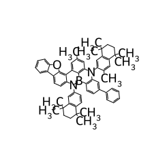 Cc1cc2c3c(c1)N(c1cc4c(cc1C)C(C)(C)CCC4(C)C)c1cc(-c4ccccc4)ccc1B3N(c1ccc3c(c1)C(C)(C)CCC3(C)C)c1ccc3c(oc4ccccc43)c1-2